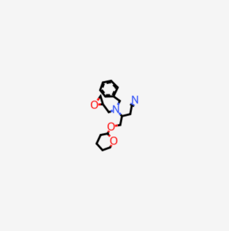 N#CCC(COC1CCCCO1)N(Cc1ccccc1)CC1CO1